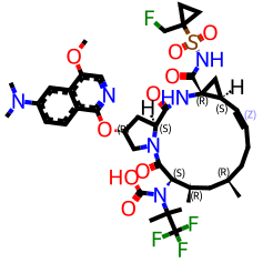 COc1cnc(O[C@@H]2C[C@H]3C(=O)N[C@]4(C(=O)NS(=O)(=O)C5(CF)CC5)C[C@H]4/C=C\CC[C@@H](C)C[C@@H](C)[C@H](N(C(=O)O)C(C)(C)C(F)(F)F)C(=O)N3C2)c2ccc(N(C)C)cc12